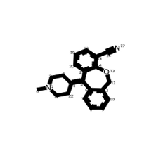 CN1CCC(=C2c3ccccc3COc3c(C#N)cccc32)CC1